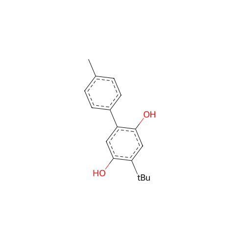 Cc1ccc(-c2cc(O)c(C(C)(C)C)cc2O)cc1